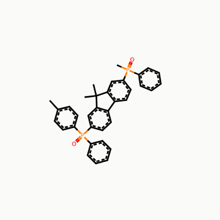 Cc1ccc(P(=O)(c2ccccc2)c2ccc3c(c2)C(C)(C)c2cc(P(C)(=O)c4ccccc4)ccc2-3)cc1